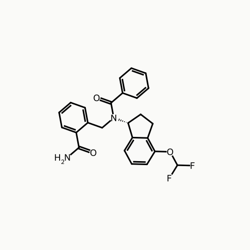 NC(=O)c1ccccc1CN(C(=O)c1ccccc1)[C@@H]1CCc2c(OC(F)F)cccc21